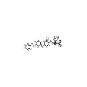 CCC(CO)(CCc1ccc(Sc2cccc(OCc3ccccc3)c2)cc1Cl)NC(=O)OC